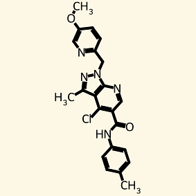 COc1ccc(Cn2nc(C)c3c(Cl)c(C(=O)Nc4ccc(C)cc4)cnc32)nc1